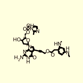 CNc1ccc(CC(=O)OCC#Cc2cn([C@H]3CC(O)[C@@H](COP(=O)(O)n4ccnc4C)O3)c3nc(N)[nH]c(=O)c23)c(NC)c1